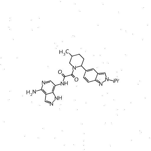 CC1CCC(c2ccc3nn(C(C)C)cc3c2)N(C(=O)C(=O)Nc2cnc(N)c3cn[nH]c23)C1